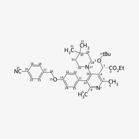 CCOC(=O)[C@@H](OC(C)(C)C)c1c(C)nc(C)c(-c2ccc(OCc3ccc(C#N)cc3)cc2)c1N1CCC(C)(C)CC1